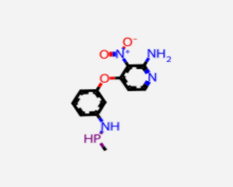 CPNc1cccc(Oc2ccnc(N)c2[N+](=O)[O-])c1